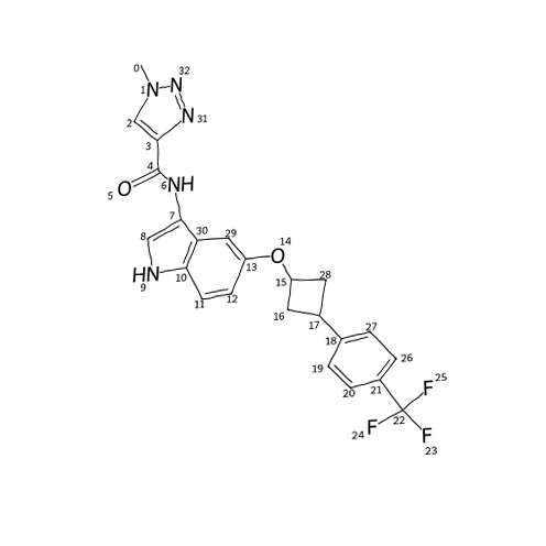 Cn1cc(C(=O)Nc2c[nH]c3ccc(OC4CC(c5ccc(C(F)(F)F)cc5)C4)cc23)nn1